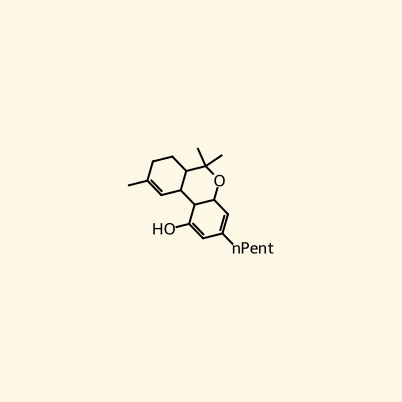 CCCCCC1=CC2OC(C)(C)C3CCC(C)=CC3C2C(O)=C1